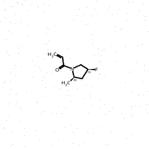 [CH2][C@@H]1C[C@H](F)CN1C(=O)C=C